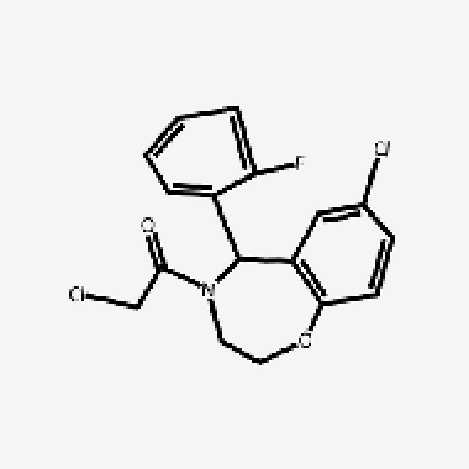 O=C(CCl)N1CCOc2ccc(Cl)cc2C1c1ccccc1F